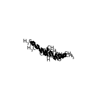 C=CC(=O)Nc1cc(Nc2nc(-c3ccnc(N4CCn5c(cc6c5CC(C)(C)C6)C4=O)c3CO)cn(C)c2=O)ccc1N1CCN(C2CCN(c3ccc(C)nc3)[C@H](C)C2)C[C@@H]1C